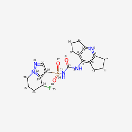 O=C(Nc1c2c(nc3c1CCC3)CCC2)NS(=O)(=O)c1cnn2c1C(F)CCC2